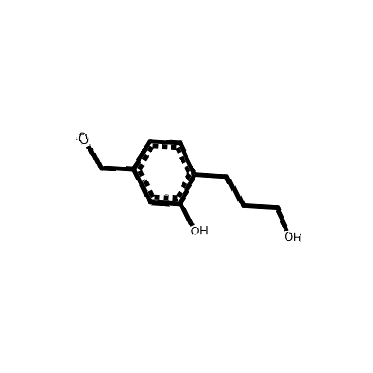 [O]Cc1ccc(CCCO)c(O)c1